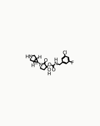 O=C(NCc1cc(F)cc(Cl)c1)OC1(O)CCN([C@H]2[C@@H]3CNC[C@@H]32)C1=O